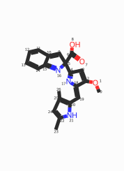 COC1=CC(C2(C(=O)O)C=c3ccccc3=N2)=NC1=Cc1[nH]c(C)cc1C